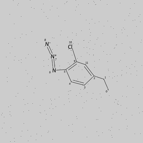 CCc1ccc(N=[N+]=[N-])c(Cl)c1